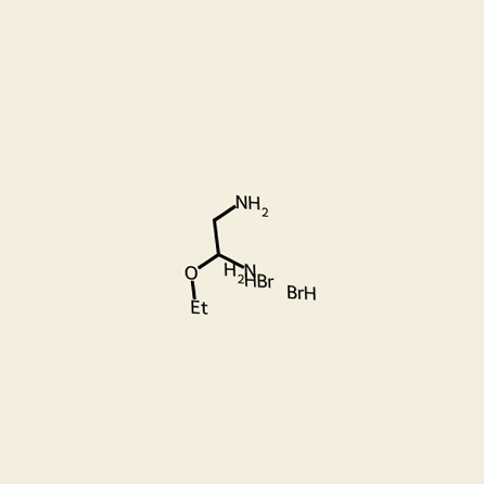 Br.Br.CCOC(N)CN